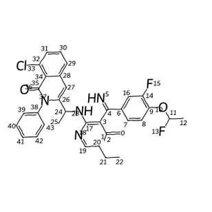 C=C(C)/C(C(=N)c1ccc(OC(C)F)c(F)c1)=C(\N=C/CCC)NC(C)c1cc2cccc(Cl)c2c(=O)n1-c1ccccc1